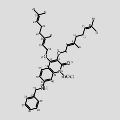 CCCCCCCCn1c(=O)c(OC/C=C(\C)CCC=C(C)C)c(OC/C=C(\C)CCC=C(C)C)c2ccc(NCc3ccccc3)cc21